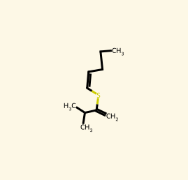 C=C(S/C=C\CCC)C(C)C